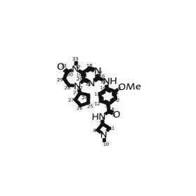 COc1cc(C(=O)NC2CN(C)C2)ccc1Nc1ncc2c(n1)N(C1CCCC1)CCC(=O)N2C